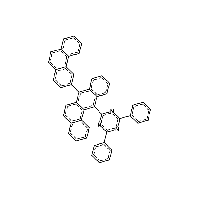 c1ccc(-c2nc(-c3ccccc3)nc(-c3c4ccccc4c(-c4ccc5ccc6ccccc6c5c4)c4ccc5ccccc5c34)n2)cc1